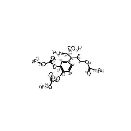 CCCCC(=O)OCC(C)C(c1ccc(OC(=O)OCCC)c(OC(=O)OCCC)c1)[C@H](N)C(=O)O